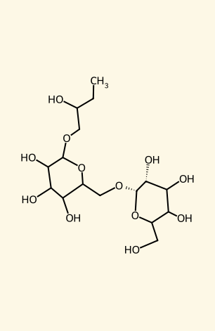 CCC(O)COC1OC(CO[C@H]2OC(CO)C(O)C(O)[C@H]2O)C(O)C(O)C1O